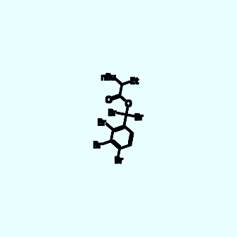 CCCCC(CC)C(=O)OC(Br)(Br)c1ccc(Br)c(Br)c1Br